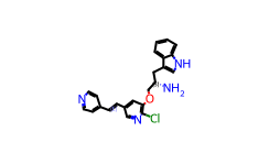 N[C@H](COc1cc(/C=C/c2ccncc2)cnc1Cl)Cc1c[nH]c2ccccc12